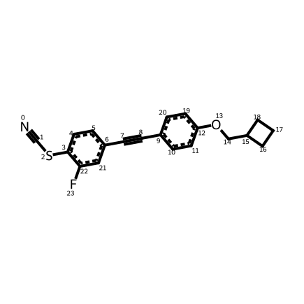 N#CSc1ccc(C#Cc2ccc(OCC3CCC3)cc2)cc1F